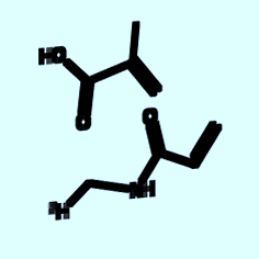 C=C(C)C(=O)O.[2H]CNC(=O)C=C